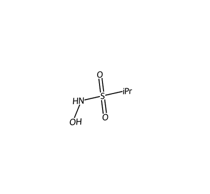 CC(C)S(=O)(=O)NO